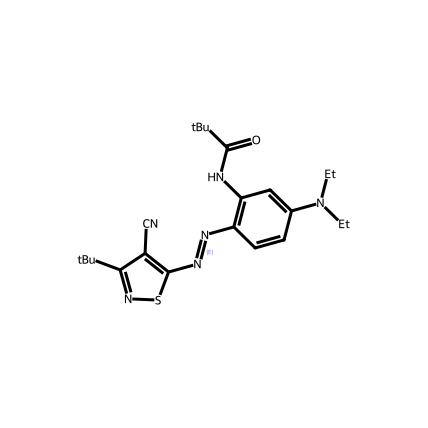 CCN(CC)c1ccc(/N=N/c2snc(C(C)(C)C)c2C#N)c(NC(=O)C(C)(C)C)c1